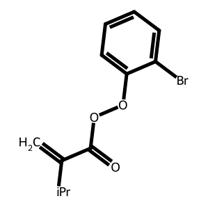 C=C(C(=O)OOc1ccccc1Br)C(C)C